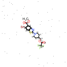 COC(=O)c1cc2nc(N3CCC(COC(=O)C(F)(F)F)CC3)sc2cc1Br